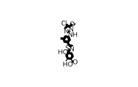 COc1nc(Nc2cc(C)cc(-c3cnc([C@]4(O)CC[C@@H](C(=O)O)[C@@H](C)C4)s3)c2)ncc1Cl